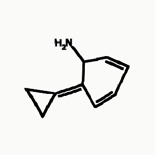 NC1C=CC=CC1=C1CC1